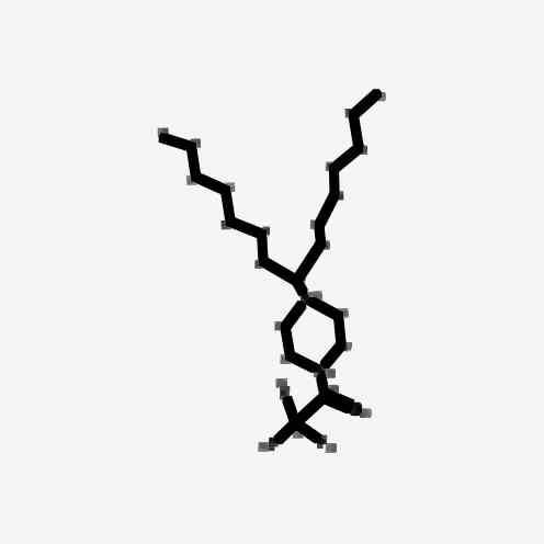 CCCCCCCC(CCCCCCC)N1CCN(C(=O)C(F)(F)F)CC1